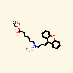 CCOC(=O)CCCCCN(C)CCC=C1c2ccccc2Oc2ccccc21